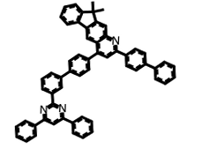 CC1(C)c2ccccc2-c2cc3c(-c4ccc(-c5cccc(-c6nc(-c7ccccc7)cc(-c7ccccc7)n6)c5)cc4)cc(-c4ccc(-c5ccccc5)cc4)nc3cc21